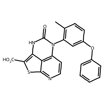 Cc1ccc(Oc2ccccc2)cc1N1C(=O)Nc2c(C(=O)O)sc3nccc1c23